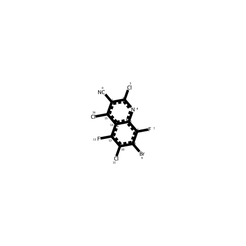 N#Cc1c(Cl)nc2c(F)c(Br)c(Cl)c(F)c2c1Cl